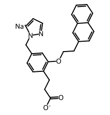 O=C([O-])CCc1ccc(Cn2cccn2)cc1OCCc1ccc2ccccc2c1.[Na+]